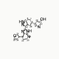 Oc1cncc(-c2ccc3[nH]nc(-c4nc5c(-c6ccoc6)ccnc5[nH]4)c3c2)c1